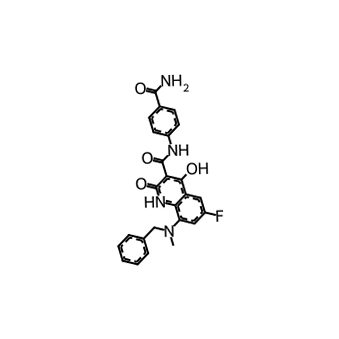 CN(Cc1ccccc1)c1cc(F)cc2c(O)c(C(=O)Nc3ccc(C(N)=O)cc3)c(=O)[nH]c12